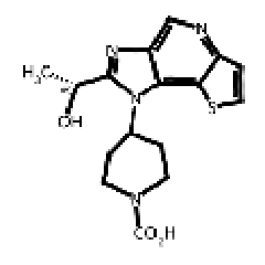 C[C@@H](O)c1nc2cnc3ccsc3c2n1C1CCN(C(=O)O)CC1